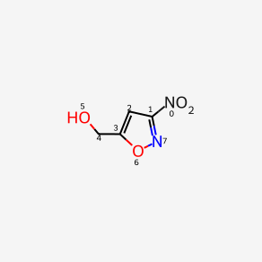 O=[N+]([O-])c1cc(CO)on1